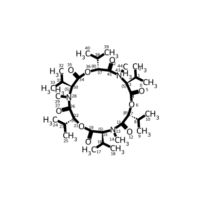 CC(C)[C@H]1C(=O)O[C@H](C(C)C)C(=O)N(C)[C@@H](C(C)C)C(=O)O[C@H](C(C)C)C(=O)N(C)[C@@H](C(C)C)C(=O)O[C@H](C(C)C)C(=O)N1C